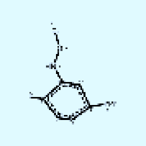 CCCc1ccc(C)c(NOCC)c1